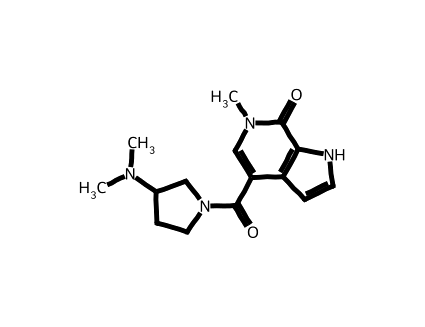 CN(C)C1CCN(C(=O)c2cn(C)c(=O)c3[nH]ccc23)C1